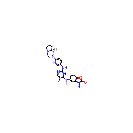 Cc1cnc(Nc2ccc(N3CCN4CCC[C@@H]4C3)nc2)nc1Nc1ccc2oc(=O)[nH]c2c1